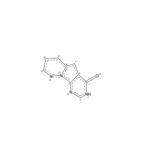 O=c1[nH]cnc2c1cc1cccnn12